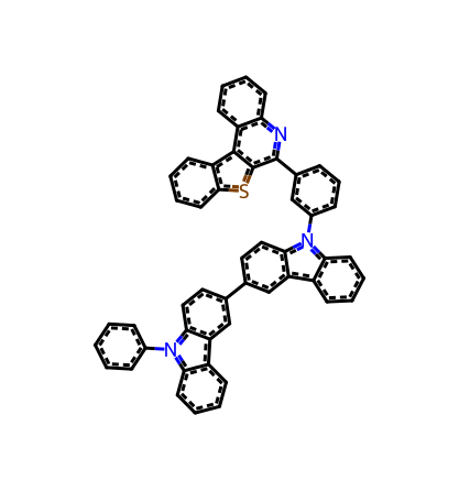 c1ccc(-n2c3ccccc3c3cc(-c4ccc5c(c4)c4ccccc4n5-c4cccc(-c5nc6ccccc6c6c5sc5ccccc56)c4)ccc32)cc1